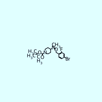 CN(OCc1ccc(Br)cc1F)C1CCN(C(=O)OC(C)(C)C)CC1